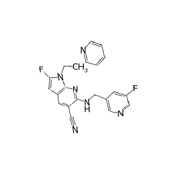 CCn1c(F)cc2cc(C#N)c(NCc3cncc(F)c3)nc21.c1ccncc1